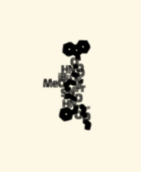 C=CCOC(=O)[C@@H](C)C[C@H](Cc1ccccc1)NC(=O)c1csc([C@@H](C[C@H](C(C)C)N(C)C(=O)[C@@H](NC(=O)OCC2c3ccccc3-c3ccccc32)[C@@H](C)CC)OC)n1